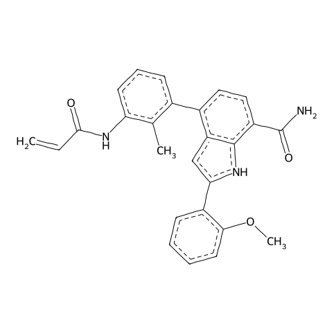 C=CC(=O)Nc1cccc(-c2ccc(C(N)=O)c3[nH]c(-c4ccccc4OC)cc23)c1C